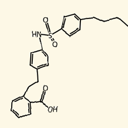 CCCCc1ccc(S(=O)(=O)Nc2ccc(CCc3ccccc3C(=O)O)cc2)cc1